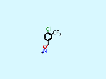 C=NOCc1ccc(Cl)c(C(F)(F)F)c1